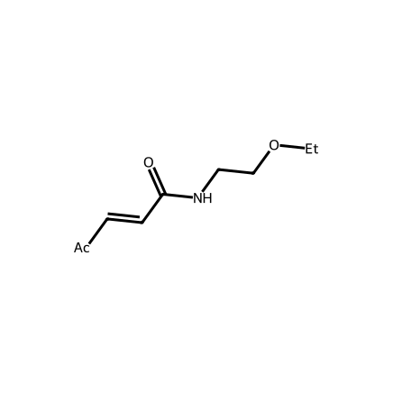 CCOCCNC(=O)/C=C/C(C)=O